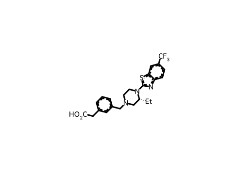 CC[C@@H]1CN(Cc2cccc(CC(=O)O)c2)CCN1c1nc2ccc(C(F)(F)F)cc2s1